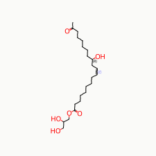 CC(=O)CCCCCC[C@@H](O)C/C=C\CCCCCCCC(=O)OCC(O)CO